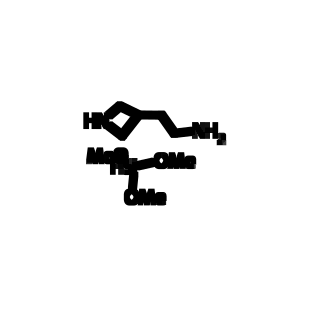 CO[SiH](OC)OC.NCCC1CNC1